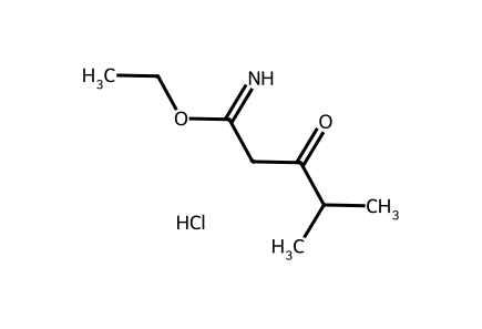 CCOC(=N)CC(=O)C(C)C.Cl